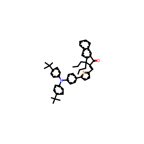 CCCC1(CCC)/C(=C\c2ccc(-c3ccc(N(c4ccc(C(C)(C)C)cc4)c4ccc(C(C)(C)C)cc4)cc3)s2)C(=O)c2cc3ccccc3cc21